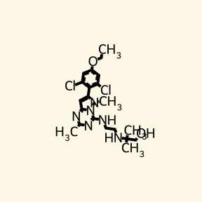 CCOc1cc(Cl)c(C2=CC3=NC(C)N=C(NCCNC(C)(C)CO)N3N2C)c(Cl)c1